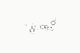 Cn1c(C(=O)c2ccc(I)cc2)cc2cc(Oc3nc(O)c4ccncc4n3)ccc21